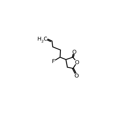 C=CCCC(F)C1CC(=O)OC1=O